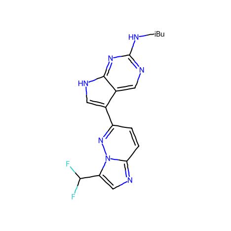 CCC(C)Nc1ncc2c(-c3ccc4ncc(C(F)F)n4n3)c[nH]c2n1